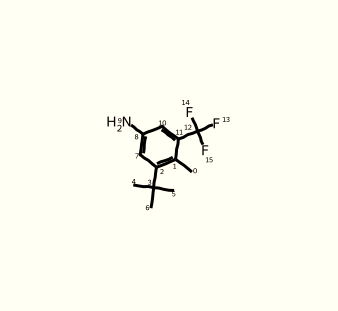 Cc1c(C(C)(C)C)cc(N)cc1C(F)(F)F